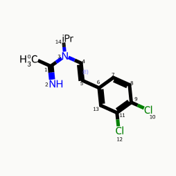 CC(=N)N(/C=C/c1ccc(Cl)c(Cl)c1)C(C)C